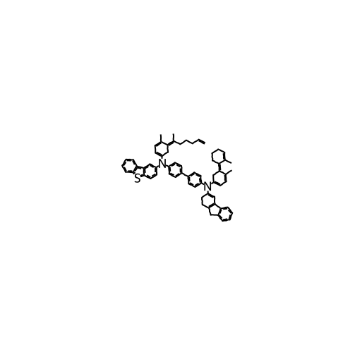 C=CCCC/C(C)=C1\CC(N(c2ccc(-c3ccc(N(C4=CC5=C(CC4)Cc4ccccc45)C4=CC=C(C)/C(=C5/CCCC=C5C)C4)cc3)cc2)c2ccc3sc4ccccc4c3c2)=CC=C1C